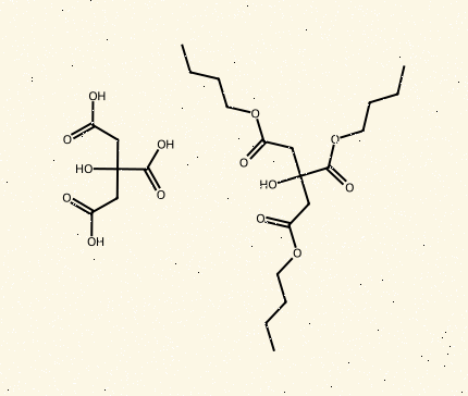 CCCCOC(=O)CC(O)(CC(=O)OCCCC)C(=O)OCCCC.O=C(O)CC(O)(CC(=O)O)C(=O)O